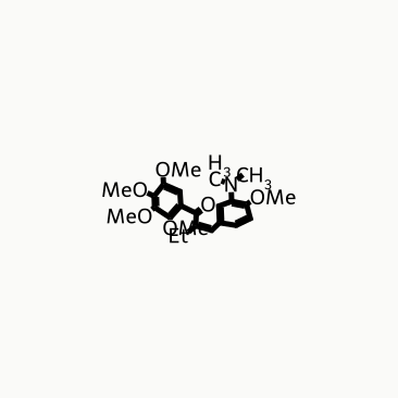 CCC(=Cc1ccc(OC)c(N(C)C)c1)C(=O)c1cc(OC)c(OC)c(OC)c1OC